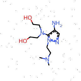 CN(C)CCn1ncc(N)c1N(CCO)CCO